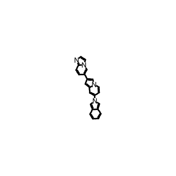 c1ccc2cn(-c3ccn4cc(-c5ccc6nccn6c5)cc4c3)cc2c1